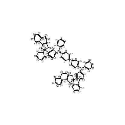 c1ccc(N(c2ccc(-c3ccc(N(c4ccccc4)c4ccc5c(c4)C4(Cc6ccc7ccccc7c6C4)c4ccccc4-5)cc3)cc2)c2ccc3c(c2)C2(Cc4ccc5ccccc5c4C2)c2ccccc2-3)cc1